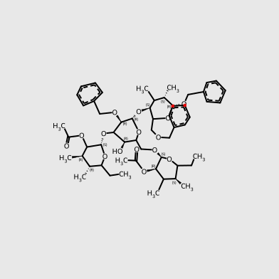 CCC1O[C@H](OCC2O[C@@H](O[C@@H]3C(COCc4ccccc4)O[C@@H](OCc4ccccc4)[C@@H](C)C3C)[C@H](OCc3ccccc3)C(O[C@@H]3OC(CC)[C@H](C)[C@@H](C)C3OC(C)=O)[C@@H]2O)[C@H](OC(C)=O)C(C)[C@@H]1C